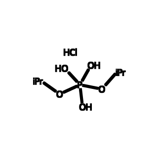 CC(C)OP(O)(O)(O)OC(C)C.Cl